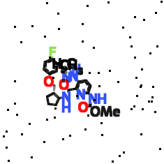 C=NN(/N=C\C)c1ccc(NC(=O)OC)nc1C(=O)N[C@H]1CCC[C@@H]1COc1ccc(F)cc1